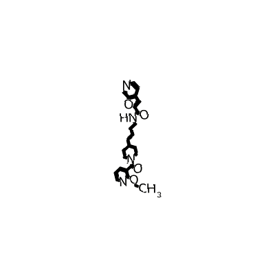 CCOc1ncccc1C(=O)N1CCC(CCCCNC(=O)c2cc3ccncc3o2)CC1